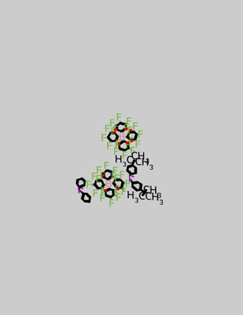 CC(C)(C)c1ccc([I+]c2ccc(C(C)(C)C)cc2)cc1.Fc1c(F)c(F)c([B-](c2c(F)c(F)c(F)c(F)c2F)(c2c(F)c(F)c(F)c(F)c2F)c2c(F)c(F)c(F)c(F)c2F)c(F)c1F.Fc1c(F)c(F)c([B-](c2c(F)c(F)c(F)c(F)c2F)(c2c(F)c(F)c(F)c(F)c2F)c2c(F)c(F)c(F)c(F)c2F)c(F)c1F.c1ccc([I+]c2ccccc2)cc1